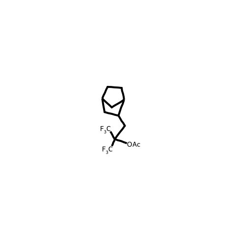 CC(=O)OC(CC1CC2CCC1C2)(C(F)(F)F)C(F)(F)F